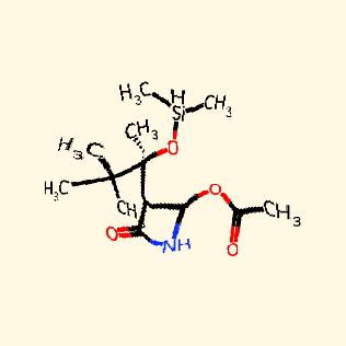 CC(=O)OC1NC(=O)C1[C@](C)(O[SiH](C)C)C(C)(C)C